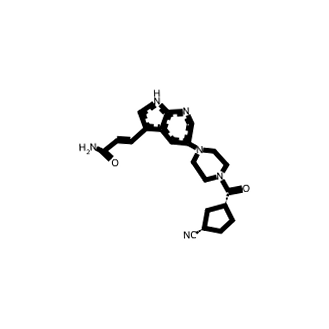 N#C[C@H]1CC[C@@H](C(=O)N2CCN(c3cnc4[nH]cc(C=CC(N)=O)c4c3)CC2)C1